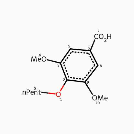 CCCCCOc1c(OC)cc(C(=O)O)cc1OC